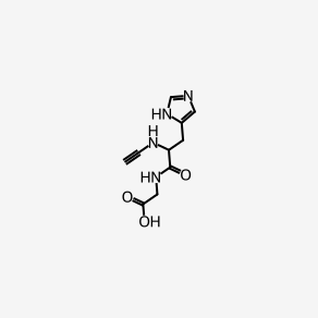 C#CNC(Cc1cnc[nH]1)C(=O)NCC(=O)O